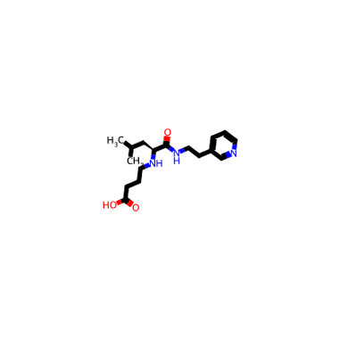 CC(C)C[C@H](NCCCC(=O)O)C(=O)NCCc1cccnc1